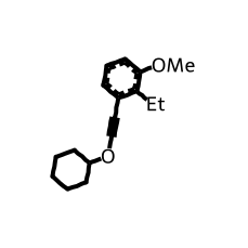 CCc1c(C#COC2CCCCC2)cccc1OC